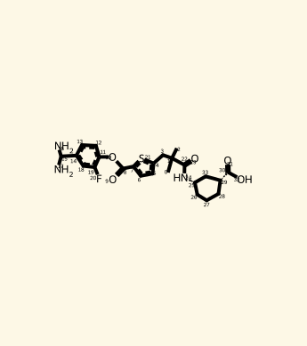 CC(C)(Cc1ccc(C(=O)Oc2ccc(C(N)N)cc2F)s1)C(=O)N[C@H]1CCC[C@@H](C(=O)O)C1